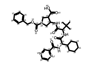 CC(C)(C)C(NC(=O)[C@@H](NC(=O)c1cnccn1)C1CCCCC1)C(=O)NC1CN(C(=O)OCc2ccccc2)CC1C(=O)O